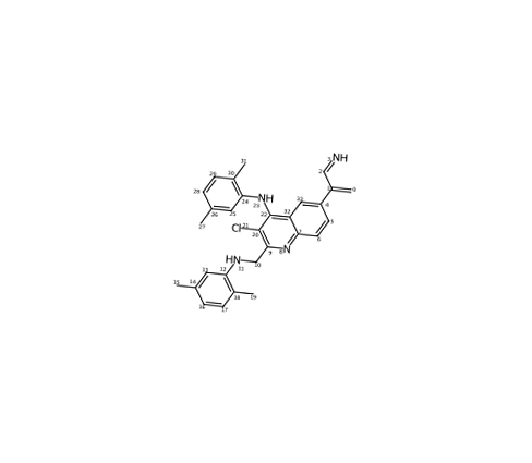 C=C(C=N)c1ccc2nc(CNc3cc(C)ccc3C)c(Cl)c(Nc3cc(C)ccc3C)c2c1